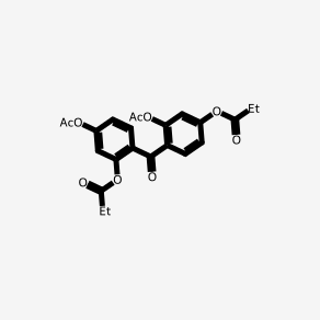 CCC(=O)Oc1ccc(C(=O)c2ccc(OC(C)=O)cc2OC(=O)CC)c(OC(C)=O)c1